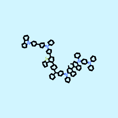 Cc1cc(N(c2ccccc2)c2ccc(C(c3ccccc3)c3ccc(-c4ccc(-c5ccc(N(c6ccccc6)c6ccc(-c7ccc(-n8c9ccccc9c9ccccc98)cc7)cc6)cc5)c5sc6ccccc6c45)cc3)cc2)c2ccccc2c1-c1c(C)cc(N(c2ccccc2)c2ccc(N(c3ccccc3)c3ccccc3)cc2)c2ccccc12